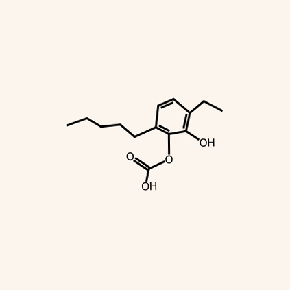 CCCCCc1ccc(CC)c(O)c1OC(=O)O